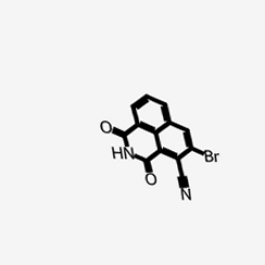 N#Cc1c(Br)cc2cccc3c2c1C(=O)NC3=O